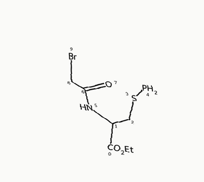 CCOC(=O)C(CSP)NC(=O)CBr